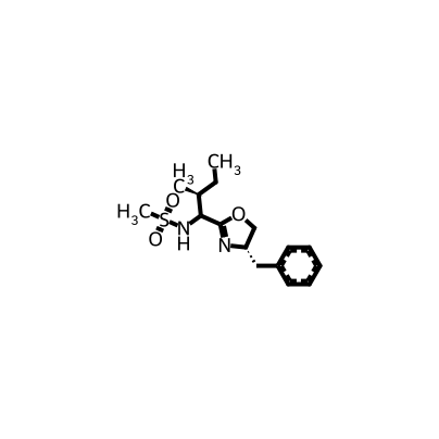 CC[C@H](C)C(NS(C)(=O)=O)C1=N[C@@H](Cc2ccccc2)CO1